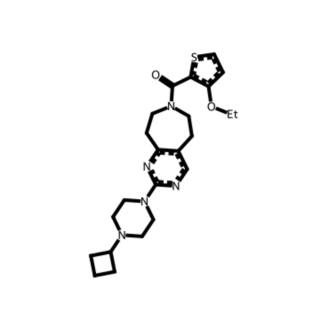 CCOc1ccsc1C(=O)N1CCc2cnc(N3CCN(C4CCC4)CC3)nc2CC1